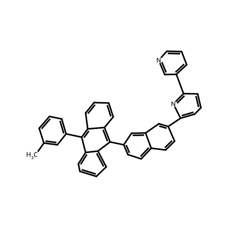 Cc1cccc(-c2c3ccccc3c(-c3ccc4ccc(-c5cccc(-c6cccnc6)n5)cc4c3)c3ccccc23)c1